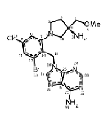 COC[C@@]1(N)CCN(c2cc(Cl)cc(Br)c2Cn2cnc3c(N)ncnc32)C1